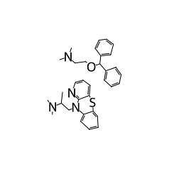 CC(CN1c2ccccc2Sc2cccnc21)N(C)C.CN(C)CCOC(c1ccccc1)c1ccccc1